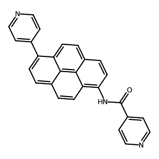 O=C(Nc1ccc2ccc3c(-c4ccncc4)ccc4ccc1c2c43)c1ccncc1